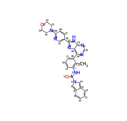 Cc1c(NC(=O)n2cc3ccccc3c2)cccc1-c1ncnc2[nH]c(-c3ccc(N4CCOCC4)nc3)nc12